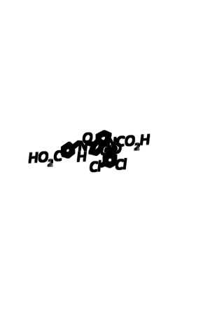 O=C(O)CN(c1cccc2c(C(=O)NCc3ccc(C(=O)O)cc3)cccc12)S(=O)(=O)c1cc(Cl)cc(Cl)c1